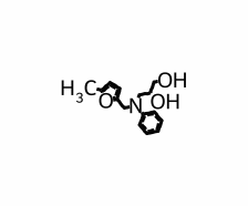 Cc1ccc(CN(CC(O)CO)c2ccccc2)o1